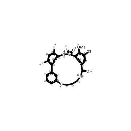 COc1c(Cl)cc2cc1S(=O)(=O)Nc1cc(c(F)cc1F)-c1cccc(c1)OCCCNC2=O